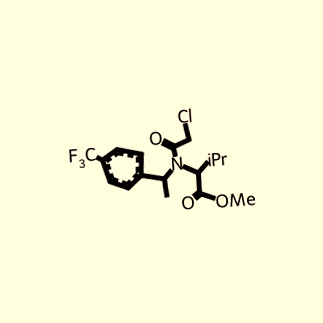 COC(=O)C(C(C)C)N(C(=O)CCl)C(C)c1ccc(C(F)(F)F)cc1